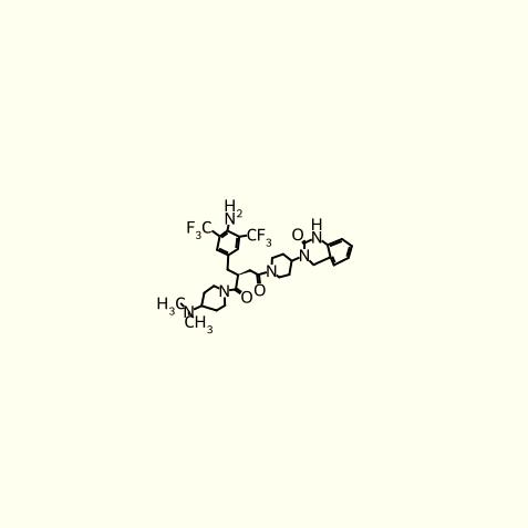 CN(C)C1CCN(C(=O)[C@H](CC(=O)N2CCC(N3Cc4ccccc4NC3=O)CC2)Cc2cc(C(F)(F)F)c(N)c(C(F)(F)F)c2)CC1